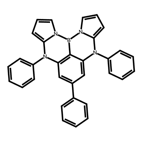 c1ccc(-c2cc3c4c(c2)N(c2ccccc2)c2cccn2B4n2cccc2N3c2ccccc2)cc1